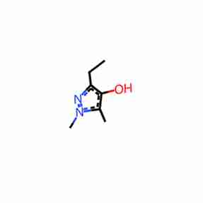 CCc1nn(C)c(C)c1O